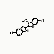 COc1c(-c2cc3cc(Cl)ccc3[nH]2)[nH]c2cc(Cl)ccc12